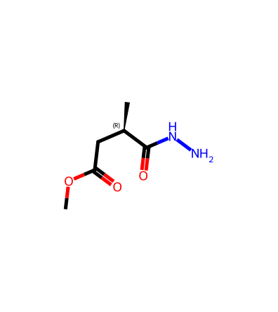 COC(=O)C[C@@H](C)C(=O)NN